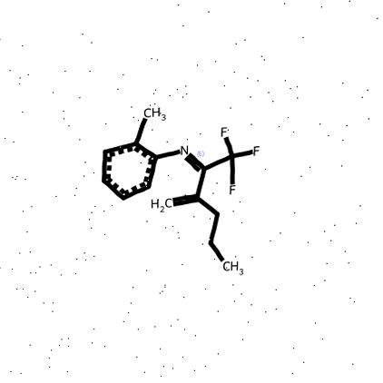 C=C(CCC)/C(=N\c1ccccc1C)C(F)(F)F